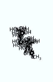 COc1ccc(O[C@H]2OC(CO)[C@@H](O)C(O)[C@H]2O[C@H](OC(CO)[C@H](C)O[C@@H]2OC(CO[C@]3(C(=O)O)C[C@@H](O)[C@@H](N)C([C@H](O)[C@H](O)CO)O3)[C@H](O)C(O)[C@@H]2O)[C@@H](C)CO)cc1